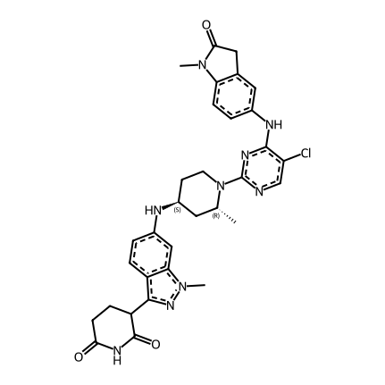 C[C@@H]1C[C@@H](Nc2ccc3c(C4CCC(=O)NC4=O)nn(C)c3c2)CCN1c1ncc(Cl)c(Nc2ccc3c(c2)CC(=O)N3C)n1